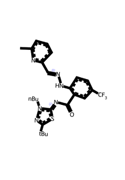 CCCCn1nc(C(C)(C)C)s/c1=N\C(=O)c1cc(C(F)(F)F)ccc1N/N=C/c1cccc(C)n1